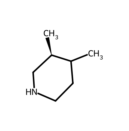 CC1CCNC[C@H]1C